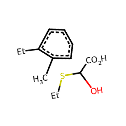 CCSC(O)C(=O)O.CCc1ccccc1C